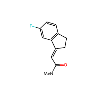 CNC(=O)C=C1CCc2ccc(F)cc21